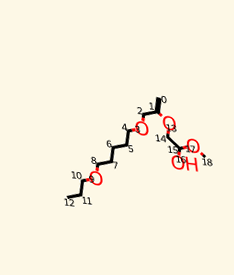 C=C(COCCCCCOCCC)OCC(O)OC